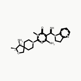 C[C@@H]1OCC2(CCN(c3nc(N)c(C(=N)N4CCc5ncccc54)c(=O)n3C)CC2)[C@@H]1N